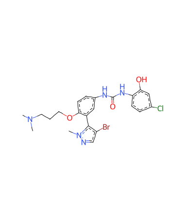 CN(C)CCCOc1ccc(NC(=O)Nc2ccc(Cl)cc2O)cc1-c1c(Br)cnn1C